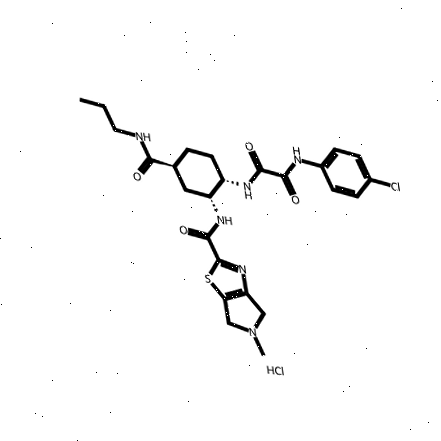 CCCNC(=O)[C@H]1CC[C@H](NC(=O)C(=O)Nc2ccc(Cl)cc2)[C@H](NC(=O)c2nc3c(s2)CN(C)C3)C1.Cl